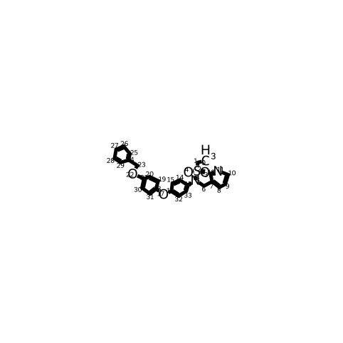 CCS(=O)(=O)N(Cc1cccnc1)c1ccc(Oc2ccc(OCc3ccccc3)cc2)cc1